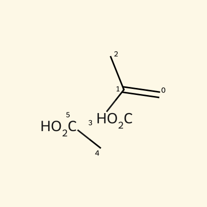 C=C(C)C(=O)O.CC(=O)O